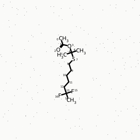 CC(=O)OC(C)(C)SCCCCCC(C)(F)F